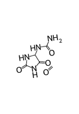 C=O.NC(=O)NC1NC(=O)NC1=O